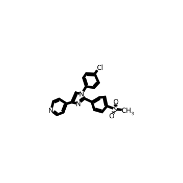 CS(=O)(=O)c1ccc(-c2nc(-c3ccncc3)cn2-c2ccc(Cl)cc2)cc1